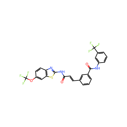 O=C(/C=C/c1cccc(C(=O)Nc2cccc(C(F)(F)F)c2)c1)Nc1nc2ccc(OC(F)(F)F)cc2s1